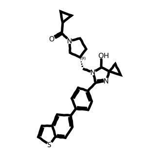 O=C(C1CC1)N1CC[C@H](CN2C(c3ccc(-c4ccc5sccc5c4)cc3)=NC3(CC3)C2O)C1